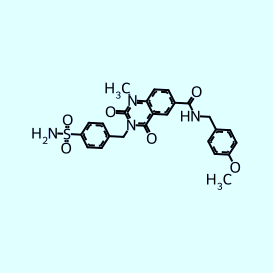 COc1ccc(CNC(=O)c2ccc3c(c2)c(=O)n(Cc2ccc(S(N)(=O)=O)cc2)c(=O)n3C)cc1